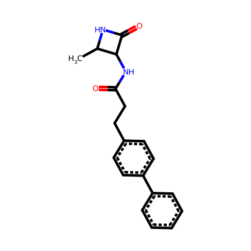 CC1NC(=O)C1NC(=O)CCc1ccc(-c2ccccc2)cc1